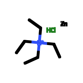 CC[N+](CC)(CC)CC.Cl.[Zn]